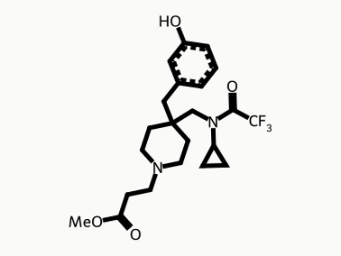 COC(=O)CCN1CCC(Cc2cccc(O)c2)(CN(C(=O)C(F)(F)F)C2CC2)CC1